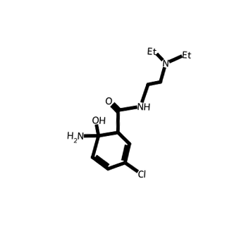 CCN(CC)CCNC(=O)C1C=C(Cl)C=CC1(N)O